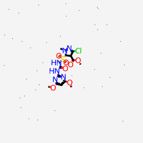 COC(=O)C1C(Cl)=NN(C)C1S(=O)(=O)NC(=O)Nc1nc(OC)cc(OC)n1